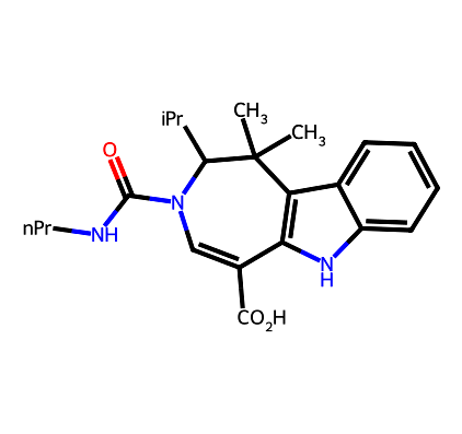 CCCNC(=O)N1C=C(C(=O)O)c2[nH]c3ccccc3c2C(C)(C)C1C(C)C